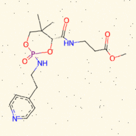 COC(=O)CCNC(=O)[C@@H]1OP(=O)(NCCc2ccncc2)OCC1(C)C